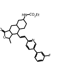 CCOC(=O)NC1CCC2C(C1)CC1C(=O)OC(C)C1C2C=Cc1ccc(-c2cccc(F)c2)cn1